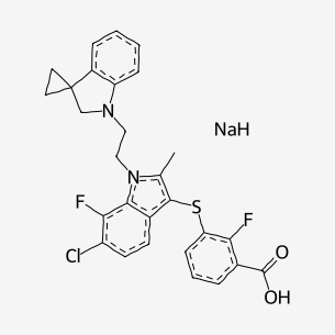 Cc1c(Sc2cccc(C(=O)O)c2F)c2ccc(Cl)c(F)c2n1CCN1CC2(CC2)c2ccccc21.[NaH]